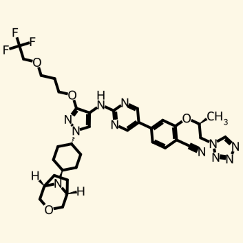 C[C@@H](Cn1cnnn1)Oc1cc(-c2cnc(Nc3cn([C@H]4CC[C@H](N5[C@@H]6CC[C@H]5COC6)CC4)nc3OCCCOCC(F)(F)F)nc2)ccc1C#N